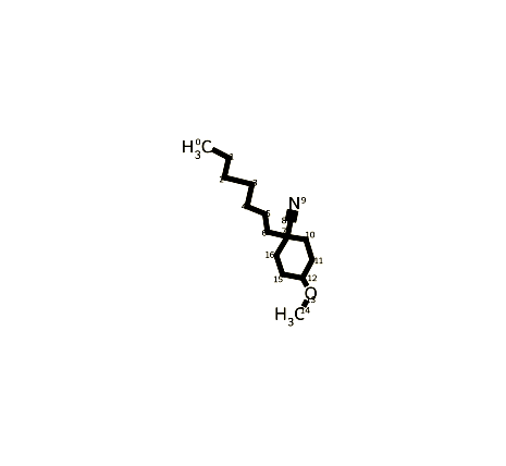 CCCCCCCC1(C#N)CCC(OC)CC1